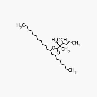 CCCCCCCCCCCC(CCCCCCCC)OC(=O)C(C)(CC)C(C)CCC